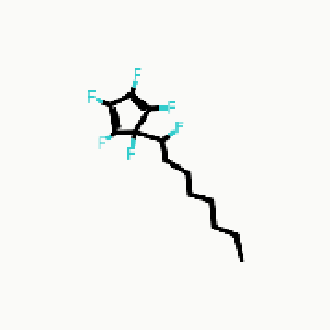 CCCCCCCC(F)C1(F)C(F)=C(F)C(F)=C1F